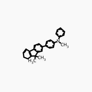 CN(c1ccccc1)c1ccc(-c2ccc3c(c2)C(C)(C)C2=C3C=CCC2)cc1